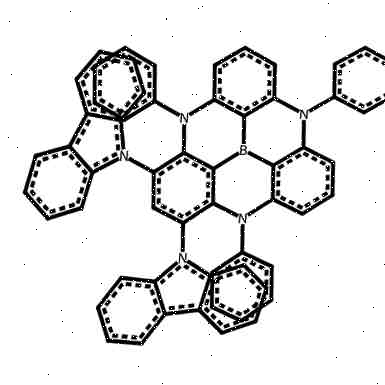 c1ccc(N2c3cccc4c3B3c5c2cccc5N(c2ccccc2)c2c(-n5c6ccccc6c6ccccc65)cc(-n5c6ccccc6c6ccccc65)c(c23)N4c2ccccc2)cc1